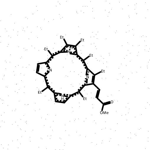 CCC1=C(C=CC(=O)OC)c2nc1c(CC)c1c(CC)c(CC)c(c(CC)c3nc(c(CC)c4ccc([nH]4)c2CC)C=C3)n1CC